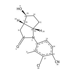 Cc1c(N2C(=O)C[C@@H]3[C@@H](O)CC[C@@H]32)ccc(C#N)c1Cl